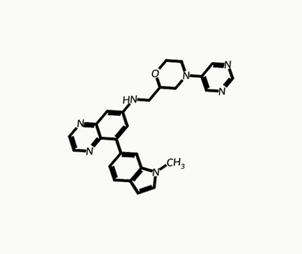 Cn1ccc2ccc(-c3cc(NCC4CN(c5cncnc5)CCO4)cc4nccnc34)cc21